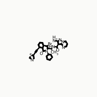 C[C@H](NC(=O)c1c(N)nn2cccnc12)c1c(Br)c2cccc(C#Cc3cncs3)c2c(=O)n1-c1ccccc1